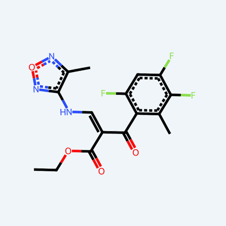 CCOC(=O)C(=CNc1nonc1C)C(=O)c1c(F)cc(F)c(F)c1C